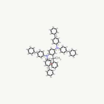 CC(C)(c1ccccc1)c1cc(N(c2ccc(-c3ccccc3)cc2)c2ccc(-c3ccccc3)cc2)ccc1N(c1ccc(-c2ccccc2)cc1)c1ccc(-c2ccccc2)cc1